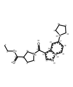 CCOC(=O)C1CCN(C(=O)c2cnn3ccc(N4CCCC4)cc23)C1